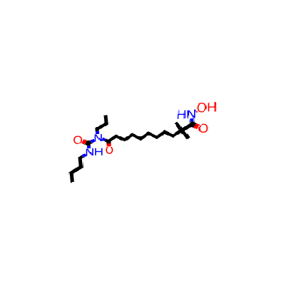 CCCCNC(=O)N(CCC)C(=O)CCCCCCCCC(C)(C)C(=O)NO